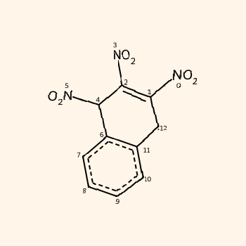 O=[N+]([O-])C1=C([N+](=O)[O-])C([N+](=O)[O-])c2ccccc2[CH]1